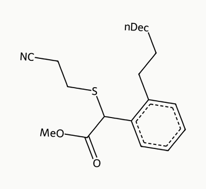 CCCCCCCCCCCCc1ccccc1C(SCCC#N)C(=O)OC